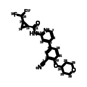 N#Cc1cc(-c2ccnc(NC(=O)[C@H]3CC3C(F)F)c2)ccc1OC1CCOCC1